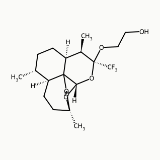 C[C@@H]1CC[C@H]2[C@@H](C)[C@](OCCO)(C(F)(F)F)O[C@@H]3O[C@]4(C)CC[C@@H]1C32OO4